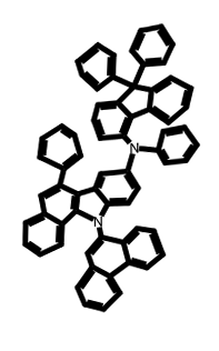 c1ccc(-c2cc3ccccc3c3c2c2cc(N(c4ccccc4)c4cccc5c4-c4ccccc4C5(c4ccccc4)c4ccccc4)ccc2n3-c2cc3ccccc3c3ccccc23)cc1